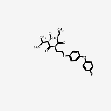 CCOC(=O)N(CCOc1ccc(Oc2ccc(F)cc2)cc1)C(=O)[C@@H](NCl)C(C)C